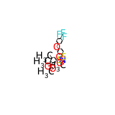 CCN(Sc1ccc(Oc2ccc(C(F)(F)F)cc2)cc1)S(=O)(=O)c1cc(C)c(C)c(C(=O)OC)c1